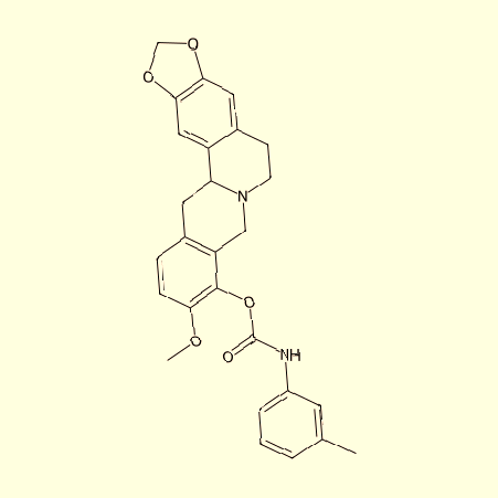 COc1ccc2c(c1OC(=O)Nc1cccc(C)c1)CN1CCc3cc4c(cc3C1C2)OCO4